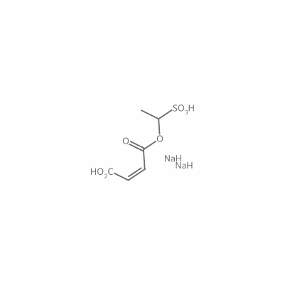 CC(OC(=O)/C=C\C(=O)O)S(=O)(=O)O.[NaH].[NaH]